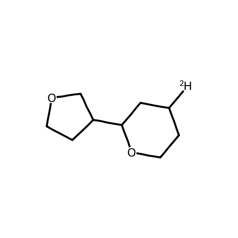 [2H]C1CCOC(C2CCOC2)C1